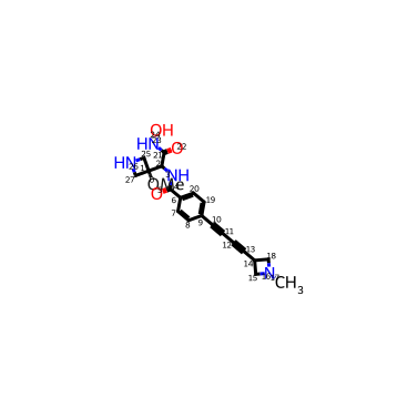 COC1(C(NC(=O)c2ccc(C#CC#CC3CN(C)C3)cc2)C(=O)NO)CNC1